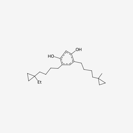 CCC1(CCCCc2cc(CCCCC3(C)CC3)c(O)cc2O)CC1